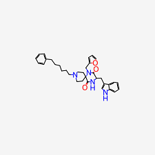 O=C1C(Cc2c[nH]c3ccccc23)NC(=O)C2(CCN(CCCCCCc3ccccc3)CC2)N1Cc1ccco1